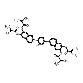 C=C(C)C(=O)Oc1cc2ccc(-c3ccc(-c4ccc5cc(OC(=O)C(=C)C)c(OC(=O)C(=C)C)cc5c4)c(F)c3)cc2cc1OC(=O)C(=C)C